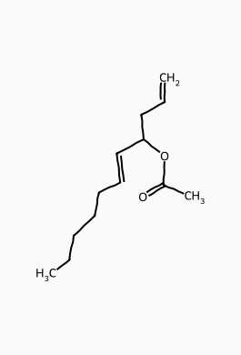 C=CCC(C=CCCCCC)OC(C)=O